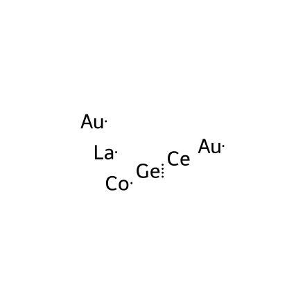 [Au].[Au].[Ce].[Co].[Ge].[La]